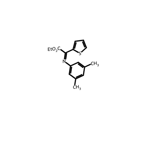 CCOC(=O)C(=Nc1cc(C)cc(C)c1)c1cccs1